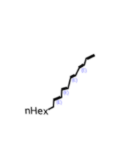 C=C/C=C/C=C/C=C/C=C/CCCCCCC